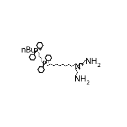 CCCC[P+](CCCC[P+](CCCCCCCCCC[N+](C)(CCCN)CCCN)(c1ccccc1)c1ccccc1)(c1ccccc1)c1ccccc1